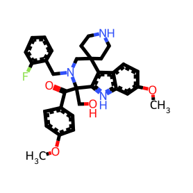 COc1ccc(C(=O)C2(CO)c3[nH]c4cc(OC)ccc4c3C3(CCNCC3)CN2Cc2ccccc2F)cc1